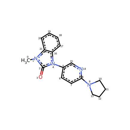 Cn1c(=O)n(-c2ccc(N3CCCC3)nc2)c2ccccc21